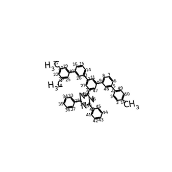 Cc1ccc(-c2cccc(-c3cc(-c4cccc(-c5cc(C)cc(C)c5)c4)cc(-c4nc(-c5ccccc5)nc(-c5ccccc5)n4)c3)c2)cc1